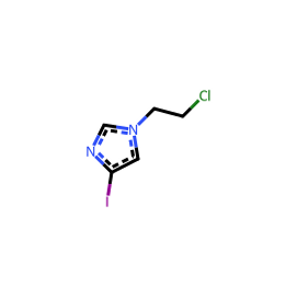 ClCCn1cnc(I)c1